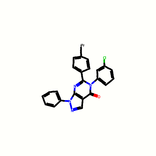 CC(C)c1ccc(-c2nc3c(cnn3-c3ccccc3)c(=O)n2-c2cccc(Cl)c2)cc1